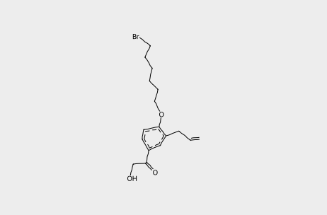 C=CCc1cc(C(=O)CO)ccc1OCCCCCCBr